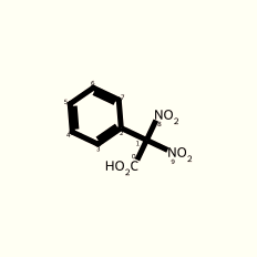 O=C(O)C(c1ccccc1)([N+](=O)[O-])[N+](=O)[O-]